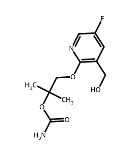 CC(C)(COc1ncc(F)cc1CO)OC(N)=O